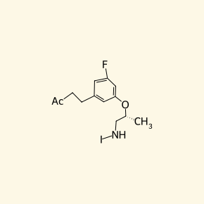 CC(=O)CCc1cc(F)cc(O[C@H](C)CNI)c1